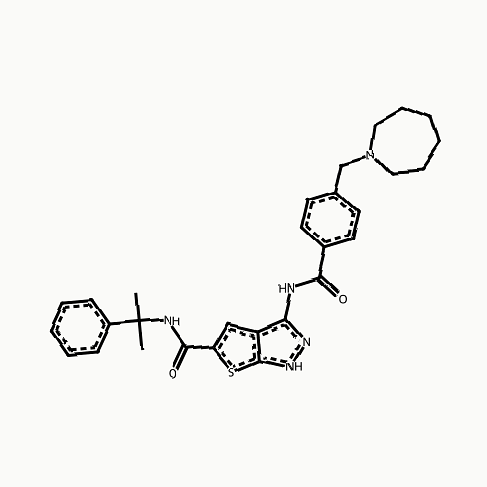 CC(C)(NC(=O)c1cc2c(NC(=O)c3ccc(CN4CCCCCC4)cc3)n[nH]c2s1)c1ccccc1